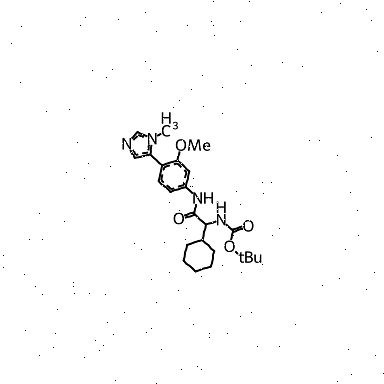 COc1cc(NC(=O)C(NC(=O)OC(C)(C)C)C2CCCCC2)ccc1-c1cncn1C